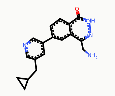 NCc1n[nH]c(=O)c2ccc(-c3cncc(CC4CC4)c3)cc12